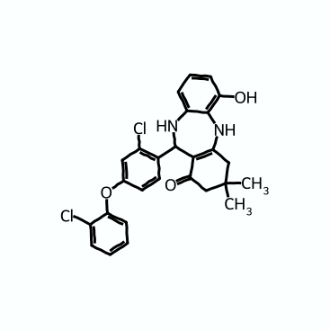 CC1(C)CC(=O)C2=C(C1)Nc1c(O)cccc1NC2c1ccc(Oc2ccccc2Cl)cc1Cl